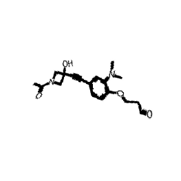 CC(=O)N1CC(O)(C#Cc2ccc(OCCC=O)c(N(C)C)c2)C1